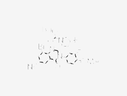 COc1ccc(-n2c([C@H]3C[C@H](F)CN3C(=O)OC(C)(C)C)nc3c(Br)cc(C#N)cc3c2=O)cc1F